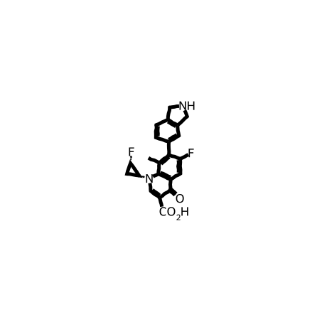 Cc1c(-c2ccc3c(c2)CNC3)c(F)cc2c(=O)c(C(=O)O)cn([C@@H]3C[C@@H]3F)c12